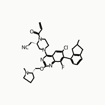 C=CC(=O)N1CCN(c2nc(OC[C@@H]3CCCN3C)nc3c(F)c(-c4cccc5c4CC(C)C5)c(Cl)cc23)C[C@@H]1CC#N